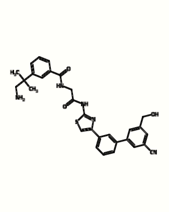 CC(C)(CN)c1cccc(C(=O)NCC(=O)Nc2nc(-c3cccc(-c4cc(C#N)cc(CO)c4)c3)cs2)c1